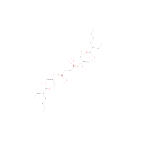 CCCCC(CC)C1OCC(OC(=O)CCC(=O)OC2COC(C(CC)CCCC)OC2)CO1